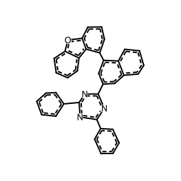 c1ccc(-c2nc(-c3ccccc3)nc(-c3cc(-c4cccc5oc6ccccc6c45)c4ccccc4c3)n2)cc1